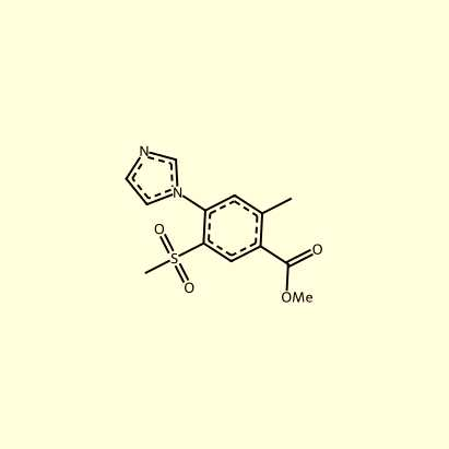 COC(=O)c1cc(S(C)(=O)=O)c(-n2ccnc2)cc1C